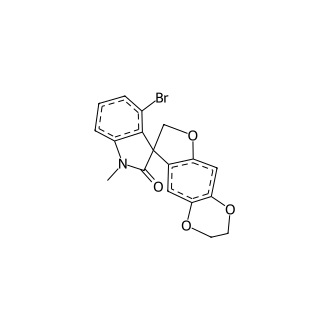 CN1C(=O)C2(COc3cc4c(cc32)OCCO4)c2c(Br)cccc21